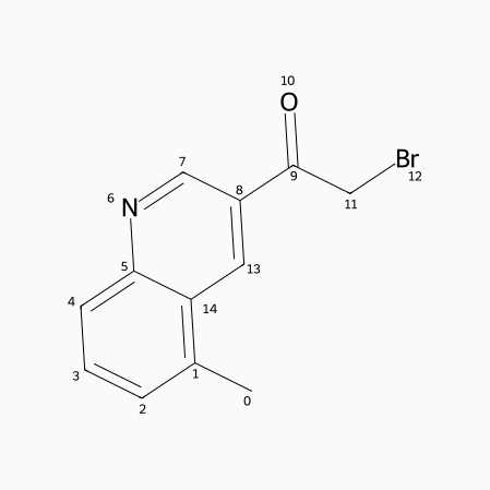 Cc1cccc2ncc(C(=O)CBr)cc12